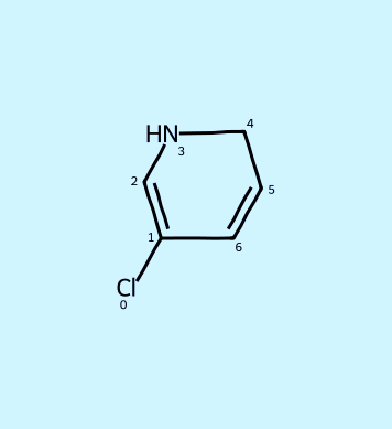 ClC1=CNCC=C1